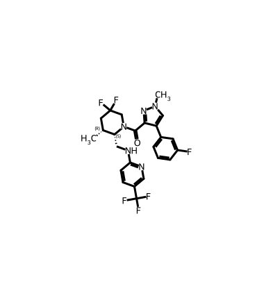 C[C@@H]1CC(F)(F)CN(C(=O)c2nn(C)cc2-c2cccc(F)c2)[C@@H]1CNc1ccc(C(F)(F)F)cn1